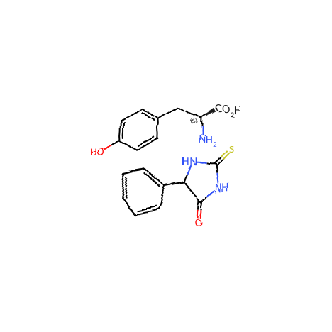 N[C@@H](Cc1ccc(O)cc1)C(=O)O.O=C1NC(=S)NC1c1ccccc1